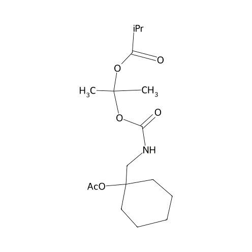 CC(=O)OC1(CNC(=O)OC(C)(C)OC(=O)C(C)C)CCCCC1